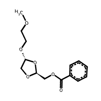 COCCO[C@H]1CO[C@H](COC(=O)c2ccccc2)O1